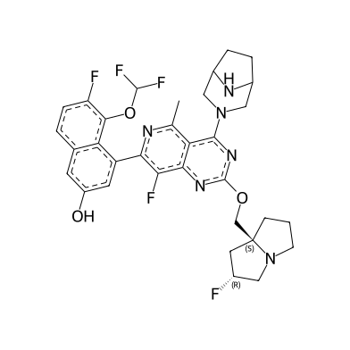 Cc1nc(-c2cc(O)cc3ccc(F)c(OC(F)F)c23)c(F)c2nc(OC[C@@]34CCCN3C[C@H](F)C4)nc(N3CC4CCC(C3)N4)c12